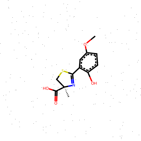 COc1ccc(O)c(C2=N[C@@](C)(C(=O)O)CS2)c1